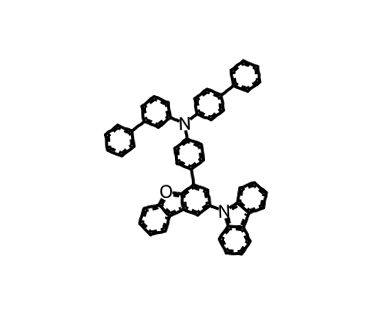 c1ccc(-c2ccc(N(c3ccc(-c4cc(-n5c6ccccc6c6ccccc65)cc5c4oc4ccccc45)cc3)c3cccc(-c4ccccc4)c3)cc2)cc1